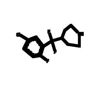 Fc1ccc(Cl)cc1C(F)(F)C1CCNCC1